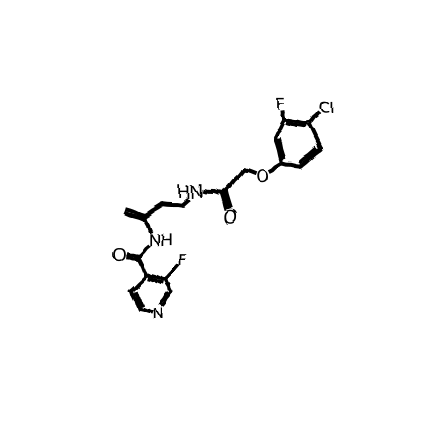 C=C(CCNC(=O)COc1ccc(Cl)c(F)c1)NC(=O)c1ccncc1F